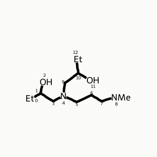 CCC(O)CN(CCCNC)CC(O)CC